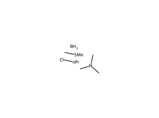 B.CCCCl.CN(C)C.CSC